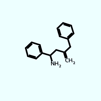 C=C(Cc1ccccc1)CC(N)c1ccccc1